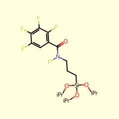 CC(C)O[Si](CCCN(F)C(=O)c1cc(F)c(F)c(F)c1F)(OC(C)C)OC(C)C